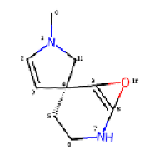 CN1C=C[C@@]2(CCNC3=C2O3)C1